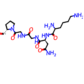 NCCCC[C@H](N)C(=O)N[C@@H](CC(N)=O)C(=O)NCC(=O)NCC(=O)N1CCC[C@H]1[C]=O